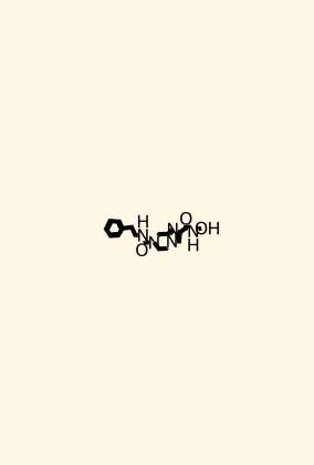 O=C(NO)c1cn2c(n1)CN(C(=O)NCCc1ccccc1)CC2